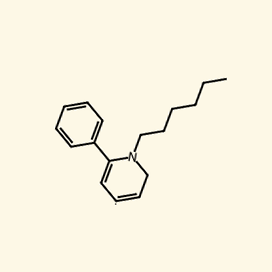 CCCCCCN1CC=[C]C=C1c1ccccc1